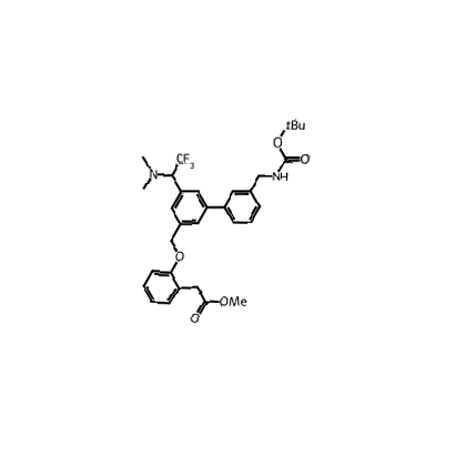 COC(=O)Cc1ccccc1OCc1cc(-c2cccc(CNC(=O)OC(C)(C)C)c2)cc(C(N(C)C)C(F)(F)F)c1